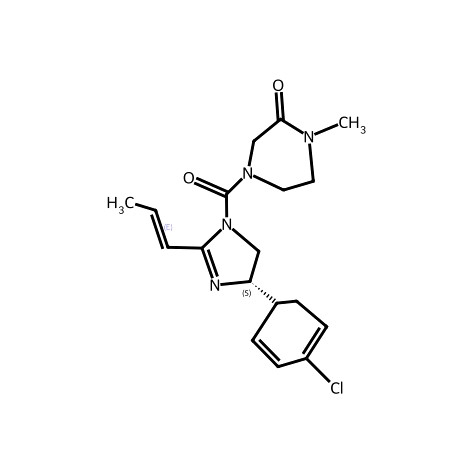 C/C=C/C1=N[C@@H](C2C=CC(Cl)=CC2)CN1C(=O)N1CCN(C)C(=O)C1